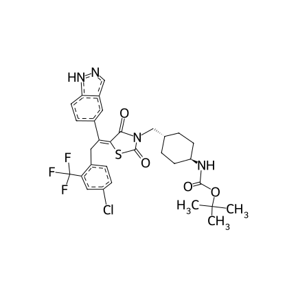 CC(C)(C)OC(=O)N[C@H]1CC[C@H](CN2C(=O)SC(=C(Cc3ccc(Cl)cc3C(F)(F)F)c3ccc4[nH]ncc4c3)C2=O)CC1